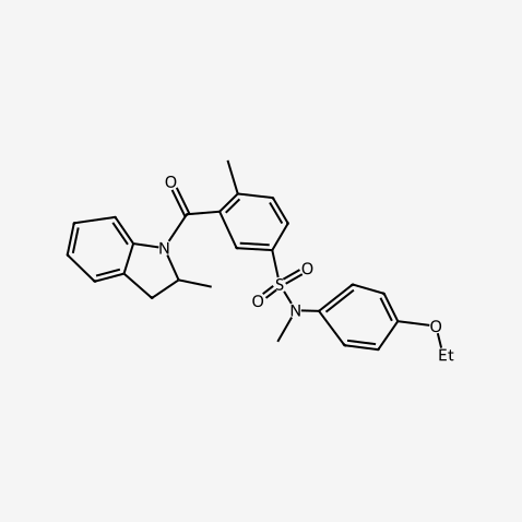 CCOc1ccc(N(C)S(=O)(=O)c2ccc(C)c(C(=O)N3c4ccccc4CC3C)c2)cc1